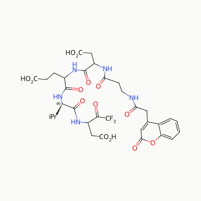 CC(C)[C@@H](NC(=O)C(CCC(=O)O)NC(=O)C(CC(=O)O)NC(=O)CCNC(=O)Cc1cc(=O)oc2ccccc12)C(=O)NC(CC(=O)O)C(=O)C(F)(F)F